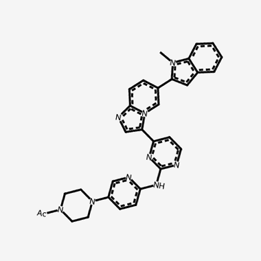 CC(=O)N1CCN(c2ccc(Nc3nccc(-c4cnc5ccc(-c6cc7ccccc7n6C)cn45)n3)nc2)CC1